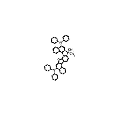 CC1(C)c2cc(N(c3ccccc3)c3ccccc3)c3ccccc3c2-c2c1ccc1c2oc2cc(N(c3ccccc3)c3ccccc3)c3ccccc3c21